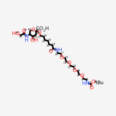 CC(C)(C)OC(=O)NCCOCCOCCOCCOCCNC(=O)CCCCCCOC1(C(=O)O)CC(O)C(NC(=O)CO)CO1